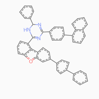 c1ccc(-c2ccc(-c3ccc4c(c3)oc3cccc(C5=NC(c6ccc(-c7cccc8ccccc78)cc6)=NC(c6ccccc6)N5)c34)cc2)cc1